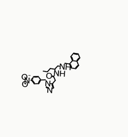 CCCC(CNCc1cccc2ccccc12)NC(=O)Cc1cncn1Cc1ccc([N+](=O)[O-])cc1